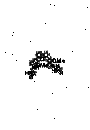 COc1cc(-c2cccc(-c3cccc(-c4cc5c(c(OC)c4)[C@@H](NC[C@H]4CCC(=O)N4)CC5)c3Cl)c2Cl)cc2c1[C@@H](NCC1CCC(=O)N1)CC2